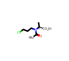 CCOC(=O)[C@H](C)N(CCCCl)C(=O)C(C)(C)C